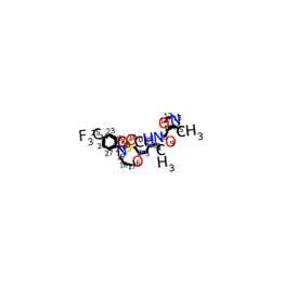 C=C1/C(=C\C=C(/C)NC(=O)c2ocnc2C)OCCCN(c2ccc(C(F)(F)F)cc2)S1(=O)=O